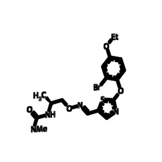 CCOc1ccc(Oc2ncc(C=NOC[C@H](C)NC(=O)NC)s2)c(Br)c1